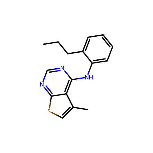 CCCc1ccccc1Nc1ncnc2scc(C)c12